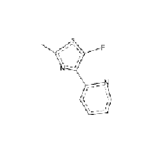 Cc1nc(-c2ccccn2)c(F)s1